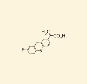 C=C(C(=O)O)c1ccc2c(c1)Cc1cc(F)ccc1S2